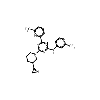 FC(F)(F)c1cc(Nc2nc(-c3cccc(C(F)(F)F)n3)nc(N3CCCC(C4=NC4)C3)n2)ccn1